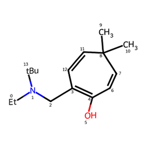 CCN(CC1=C(O)C=CC(C)(C)C=C1)C(C)(C)C